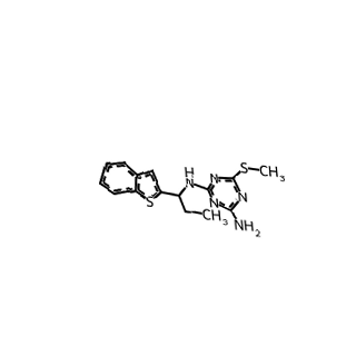 CCC(Nc1nc(N)nc(SC)n1)c1cc2ccccc2s1